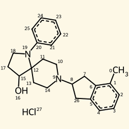 Cc1cccc2c1CC(N1CCC3(CC1)C(O)CCN3c1ccccc1)C2.Cl